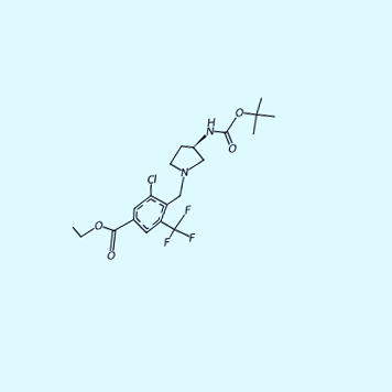 CCOC(=O)c1cc(Cl)c(CN2CC[C@@H](NC(=O)OC(C)(C)C)C2)c(C(F)(F)F)c1